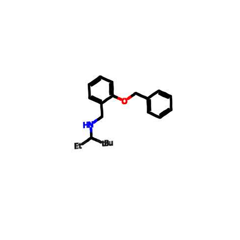 [CH2]CC(NCc1ccccc1OCc1ccccc1)C(C)(C)C